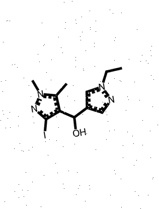 CCn1cc(C(O)c2c(I)nn(C)c2C)cn1